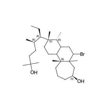 CC[C@H]([C@H](C)CCC(C)(C)O)[C@@]1(C)CCC2C(CC(Br)C3(C)C[C@@H](O)CCC[C@]23C)[C@H]1C